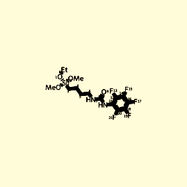 CCO[Si](CCCCNC(=O)Nc1c(F)c(F)c(F)c(F)c1F)(OC)OC